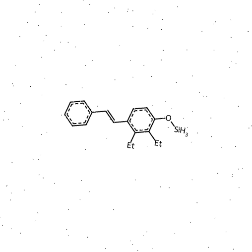 CCc1c(C=Cc2ccccc2)ccc(O[SiH3])c1CC